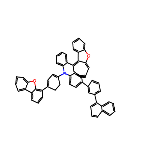 C1#CCC(c2ccccc2N(C2=CC=C(c3cccc4c3oc3ccccc34)CC2)c2ccc(-c3cccc(-c4cccc5ccccc45)c3)cc2)=c2c(oc3ccccc23)=C1